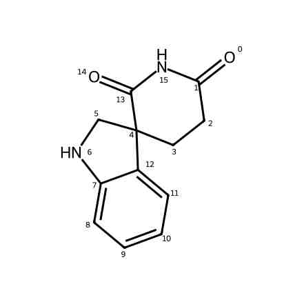 O=C1CCC2(CNc3ccccc32)C(=O)N1